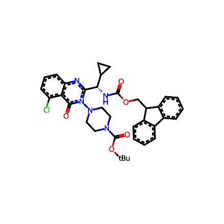 CC(C)(C)OC(=O)N1CCN(n2c([C@@H](NC(=O)OCC3c4ccccc4-c4ccccc43)C3CC3)nc3cccc(Cl)c3c2=O)CC1